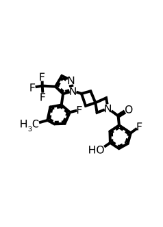 Cc1ccc(F)c(-c2c(C(F)(F)F)cnn2C2CC3(C2)CN(C(=O)c2cc(O)ccc2F)C3)c1